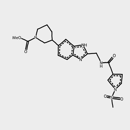 COC(=O)N1CCCC(c2ccc3nc(CNC(=O)c4ccn(S(C)(=O)=O)c4)[nH]c3c2)C1